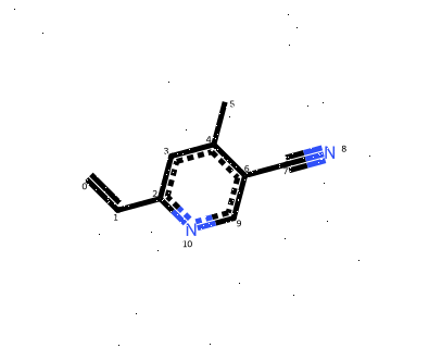 C=Cc1cc(C)c(C#N)cn1